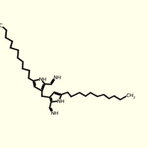 CCCCCCCCCCCc1cc(Cc2cc(CCCCCCCCCCC)[nH]c2C=N)c(C=N)[nH]1